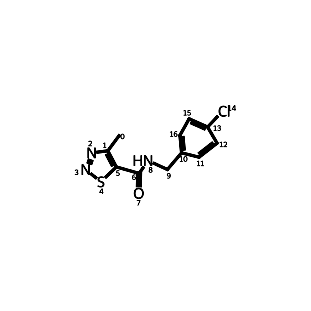 Cc1nnsc1C(=O)NCc1ccc(Cl)cc1